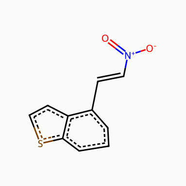 O=[N+]([O-])/C=C/c1cccc2sccc12